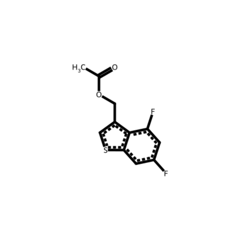 CC(=O)OCc1csc2cc(F)cc(F)c12